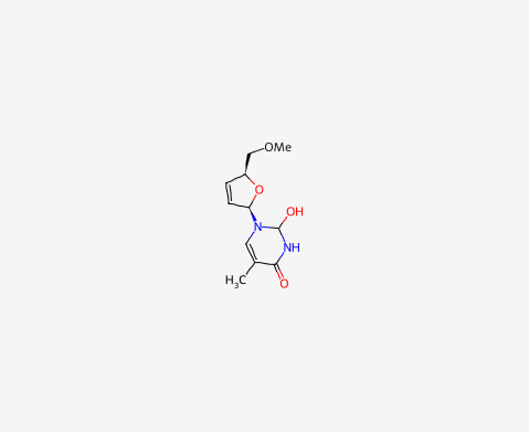 COC[C@@H]1C=C[C@H](N2C=C(C)C(=O)NC2O)O1